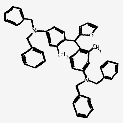 Cc1cc(N(Cc2ccccc2)Cc2ccccc2)ccc1C(c1ccco1)c1ccc(N(Cc2ccccc2)Cc2ccccc2)cc1C